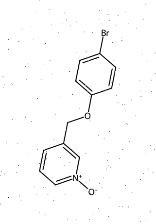 [O-][n+]1cccc(COc2ccc(Br)cc2)c1